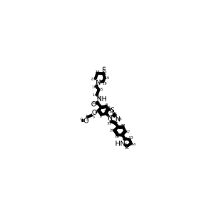 COCCOc1cc2c(cc1C(=O)NCCCN1CCC(F)CC1)sc1nc(-c3ccc(C4CCCN4)cc3)cn12